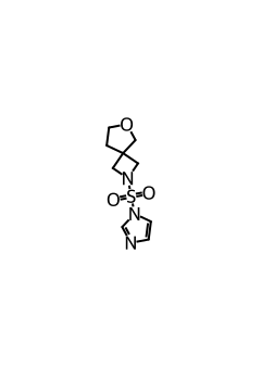 O=S(=O)(N1CC2(CCOC2)C1)n1ccnc1